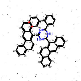 c1ccc(-c2ccccc2C2N=C(c3c4ccccc4cc4c3ccc3ccccc34)NC(c3c4ccccc4cc4c3ccc3ccccc34)N2)cc1